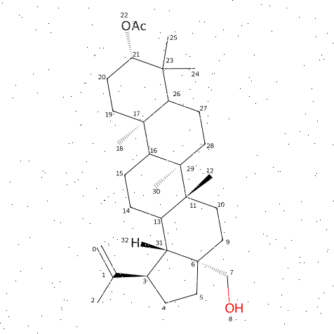 C=C(C)[C@@H]1CC[C@]2(CO)CC[C@]3(C)C(CCC4[C@@]5(C)CC[C@H](OC(C)=O)C(C)(C)C5CC[C@]43C)[C@@H]12